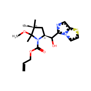 C=CCOC(=O)N1[C@H](C(O)c2ncc3sccn23)C[C@](C)(C(C)(C)C)C1(C)O[SiH3]